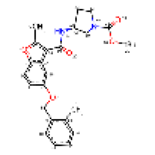 Cc1oc2ccc(OCc3ccccc3C(F)(F)F)cc2c1C(=O)N[C@H]1CCN(C(=O)OC(C)(C)C)C1